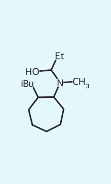 CCC(C)C1CCCCCC1N(C)C(O)CC